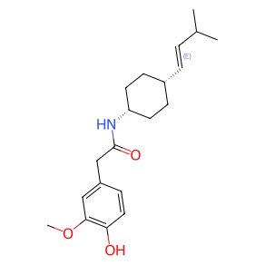 COc1cc(CC(=O)N[C@H]2CC[C@@H](/C=C/C(C)C)CC2)ccc1O